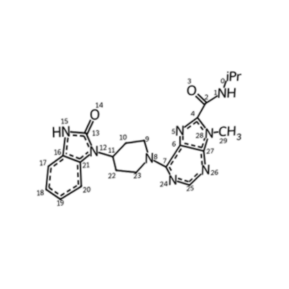 CC(C)NC(=O)c1nc2c(N3CCC(n4c(=O)[nH]c5ccccc54)CC3)ncnc2n1C